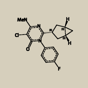 CNc1nc([C@@H]2C[C@@H]3C[C@@H]3C2)n(-c2ccc(F)cc2)c(=O)c1Cl